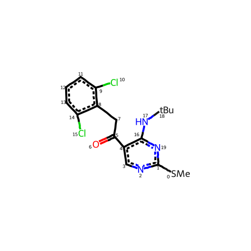 CSc1ncc(C(=O)Cc2c(Cl)cccc2Cl)c(NC(C)(C)C)n1